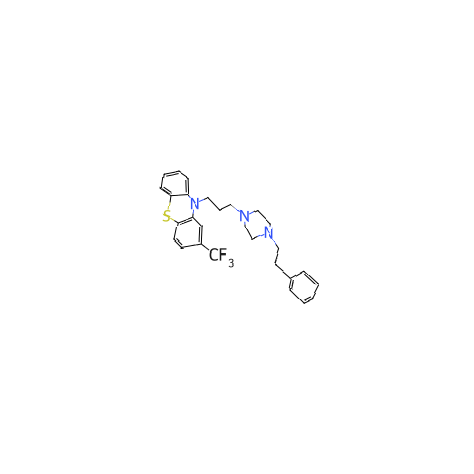 FC(F)(F)c1ccc2c(c1)N(CCCN1CCN(CCc3ccccc3)CC1)c1ccccc1S2